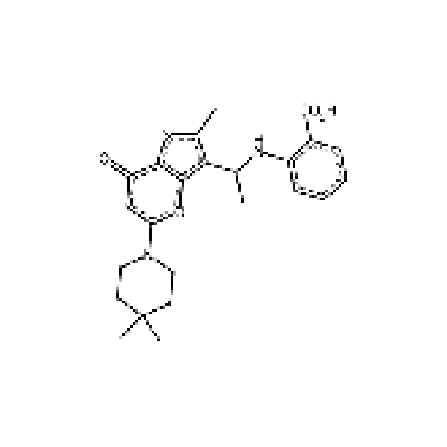 Cc1sc2c(=O)cc(N3CCC(C)(C)CC3)oc2c1C(C)Nc1ccccc1C(=O)O